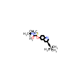 CSC(Oc1ccc2ncc(C#C[Si](C)(C)C)cc2c1)C(=O)NC(C)(C)C